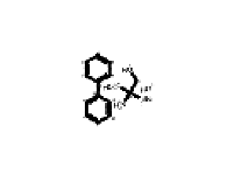 CCCCC(N)(CO)C(=O)O.Cl.c1ccc(-c2ccccc2)cc1